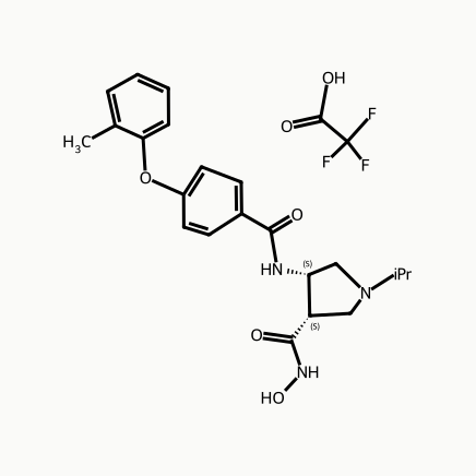 Cc1ccccc1Oc1ccc(C(=O)N[C@@H]2CN(C(C)C)C[C@@H]2C(=O)NO)cc1.O=C(O)C(F)(F)F